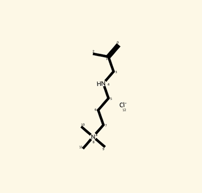 C=C(C)CNCCC[N+](C)(C)C.[Cl-]